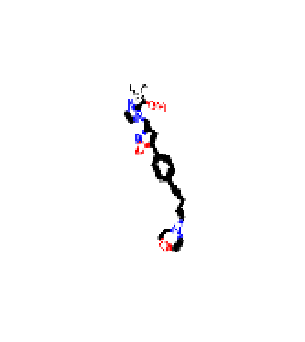 CC(O)c1nccn1Cc1cc(-c2ccc(C#CCCCN3CCOCC3)cc2)on1